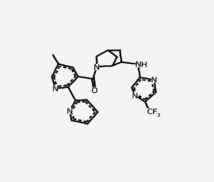 Cc1cnc(-c2ccccn2)c(C(=O)N2CC3CC(Nc4cnc(C(F)(F)F)cn4)C2C3)c1